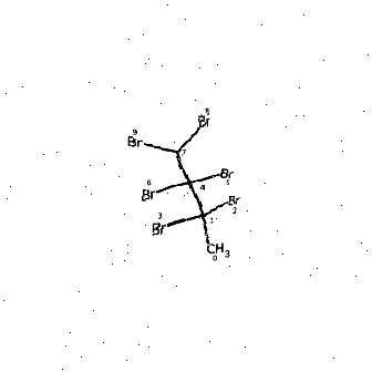 CC(Br)(Br)C(Br)(Br)C(Br)Br